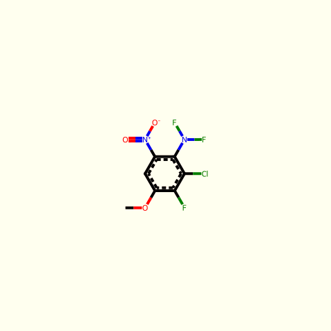 COc1cc([N+](=O)[O-])c(N(F)F)c(Cl)c1F